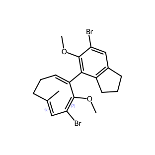 CO/C1=C(Br)/C=C(\C)CCC=C1c1c2c(cc(Br)c1OC)CCC2